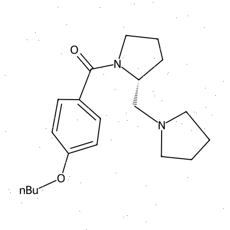 CCCCOc1ccc(C(=O)N2CCC[C@@H]2CN2CCCC2)cc1